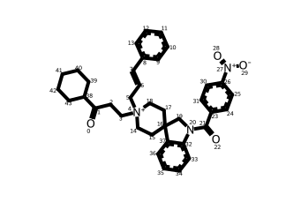 O=C(CC[N+]1(C/C=C/c2ccccc2)CCC2(CC1)CN(C(=O)c1ccc([N+](=O)[O-])cc1)c1ccccc12)C1CCCCC1